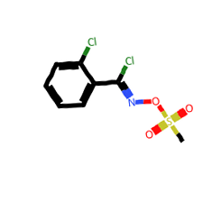 CS(=O)(=O)ON=C(Cl)c1ccccc1Cl